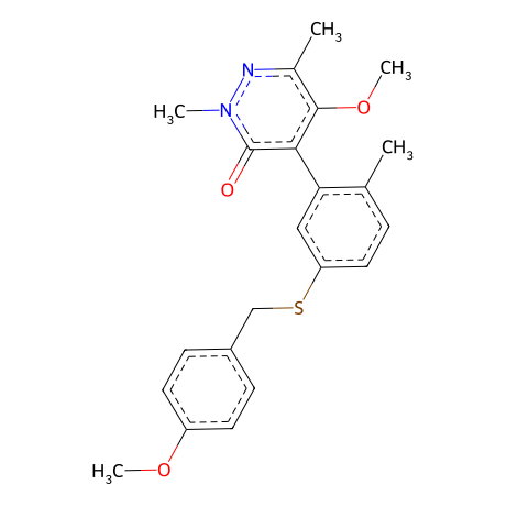 COc1ccc(CSc2ccc(C)c(-c3c(OC)c(C)nn(C)c3=O)c2)cc1